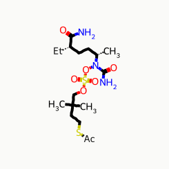 CC[C@@H](CC[C@H](C)N(OS(=O)(=O)OCC(C)(C)CCSC(C)=O)C(N)=O)C(N)=O